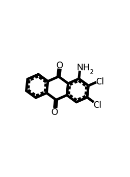 Nc1c(Cl)c(Cl)cc2c1C(=O)c1ccccc1C2=O